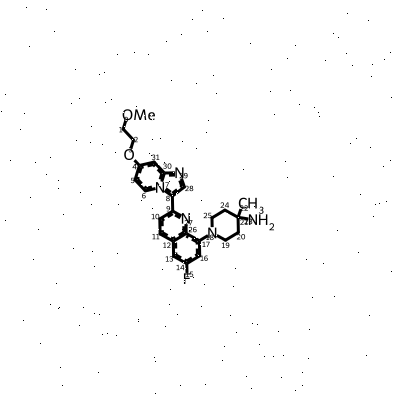 COCCOc1ccn2c(-c3ccc4cc(F)cc(N5CCC(C)(N)CC5)c4n3)cnc2c1